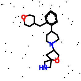 c1ccc(C2CCN(C3COC4(CNC4)C3)CC2)c(CC2CCOCC2)c1